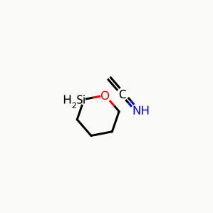 C1CC[SiH2]OC1.C=C=N